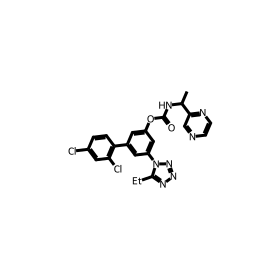 CCc1nnnn1-c1cc(OC(=O)NC(C)c2cnccn2)cc(-c2ccc(Cl)cc2Cl)c1